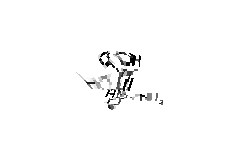 Cc1ncc(CO)c(C=O)c1O.NCCc1c[nH]c2ccccc12